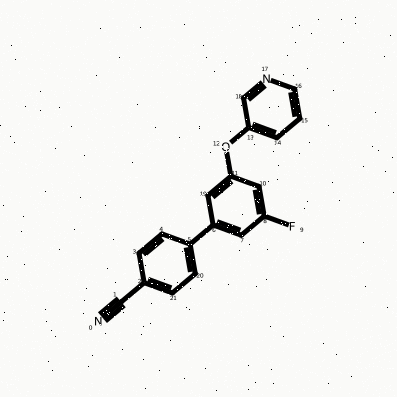 N#Cc1ccc(-c2cc(F)cc(Oc3cccnc3)c2)cc1